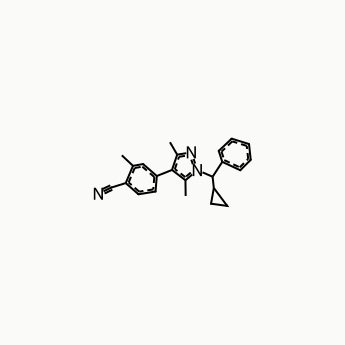 Cc1cc(-c2c(C)nn(C(c3ccccc3)C3CC3)c2C)ccc1C#N